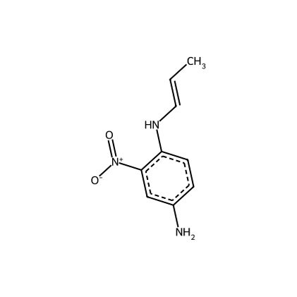 CC=CNc1ccc(N)cc1[N+](=O)[O-]